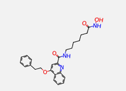 O=C(CCCCCCNC(=O)c1cc(OCCc2ccccc2)c2ccccc2n1)NO